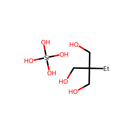 CCC(CO)(CO)CO.O[Si](O)(O)O